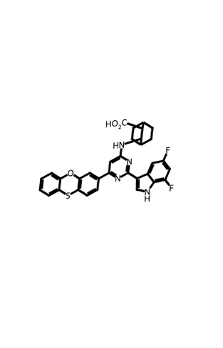 O=C(O)C1C2CCC(CC2)C1Nc1cc(-c2ccc3c(c2)Oc2ccccc2S3)nc(-c2c[nH]c3c(F)cc(F)cc23)n1